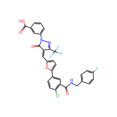 O=C(O)c1cccc(N2N=C(C(F)(F)F)/C(=C\c3ccc(-c4ccc(Cl)c(C(=O)NCc5ccc(F)cc5)c4)o3)C2=O)c1